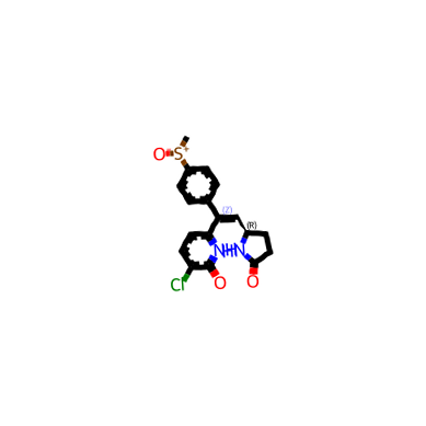 C[S+]([O-])c1ccc(/C(=C/[C@H]2CCC(=O)N2)c2ccc(Cl)c(=O)[nH]2)cc1